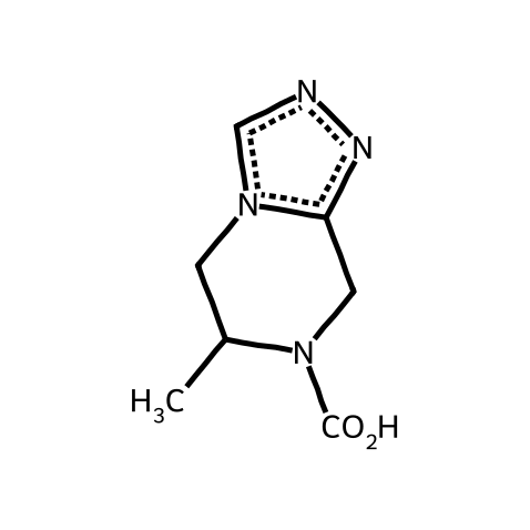 CC1Cn2cnnc2CN1C(=O)O